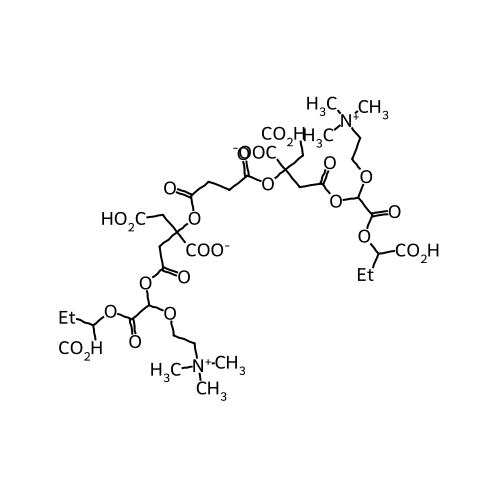 CCC(OC(=O)C(OCC[N+](C)(C)C)OC(=O)CC(CC(=O)O)(OC(=O)CCC(=O)OC(CC(=O)O)(CC(=O)OC(OCC[N+](C)(C)C)C(=O)OC(CC)C(=O)O)C(=O)[O-])C(=O)[O-])C(=O)O